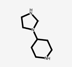 [CH]1NCCN1C1CCNCC1